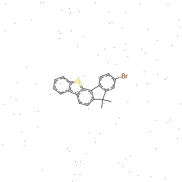 CC1(C)c2cc(Br)ccc2-c2c1ccc1c2sc2ccccc21